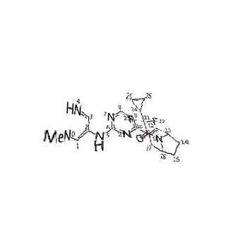 CN/C=C(\C=N)Nc1nccc(C2=CC3CCC(C2)N3C(=O)C(F)(F)C2CC2)n1